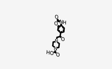 O=C(CN1CCN(C(=O)O)CC1)c1ccc2[nH]c(=O)oc2c1